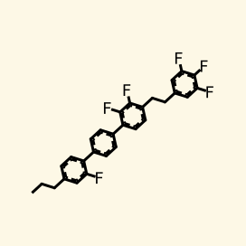 CCCc1ccc(-c2ccc(-c3ccc(CCc4cc(F)c(F)c(F)c4)c(F)c3F)cc2)c(F)c1